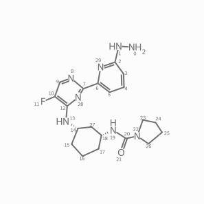 NNc1cccc(-c2ncc(F)c(N[C@H]3CCC[C@@H](NC(=O)N4CCCC4)C3)n2)n1